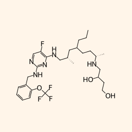 CCCC(CC[C@H](C)NCC(O)CCO)C[C@H](C)CNc1nc(NCc2ccccc2OC(F)(F)F)ncc1F